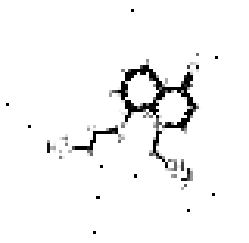 CCn1ccc(=O)c2cccc(OCCN)c21.Cl